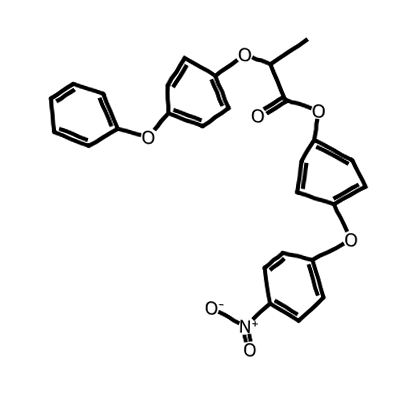 CC(Oc1ccc(Oc2ccccc2)cc1)C(=O)Oc1ccc(Oc2ccc([N+](=O)[O-])cc2)cc1